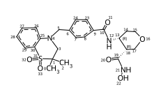 CC1(C)CN(Cc2ccc(C(=O)N[C@@H]3CCOC[C@@H]3C(=O)NO)cc2)c2ccccc2S1(=O)=O